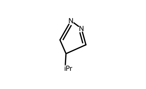 CC(C)C1C=NN=C1